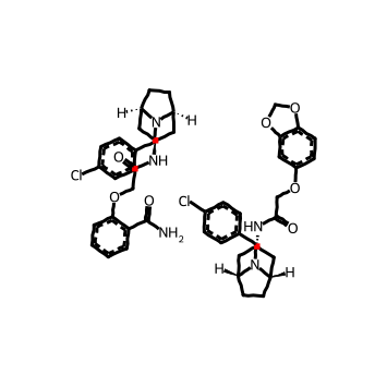 NC(=O)c1ccccc1OCC(=O)N[C@H]1C[C@H]2CC[C@@H](C1)N2Cc1ccc(Cl)cc1.O=C(COc1ccc2c(c1)OCO2)N[C@H]1C[C@H]2CC[C@@H](C1)N2Cc1ccc(Cl)cc1